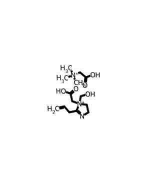 C=CCC1=NCC[N+]1(CO)CC(=O)O.C[N+](C)(C)CC(=O)O